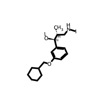 C[C@H](CNI)[C@H](OI)c1cccc(OCC2CCCCC2)c1